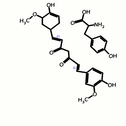 COc1cc(/C=C/C(=O)CC(=O)/C=C/C2CC=C(O)C(OC)C2)ccc1O.NC(Cc1ccc(O)cc1)C(=O)O